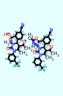 CC(=O)C1=C(C)N(c2cccc(C(F)(F)F)c2)C(=O)N(C)C1c1ccc(C#N)cc1-c1nnc(C)o1.CC(=O)C1=C(C)N(c2cccc(C(F)(F)F)c2)C(=O)N(C)C1c1ccc(C#N)cc1C(=O)O